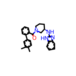 Cc1ccc(-c2ccccc2C(=O)N2CCC[C@@H](Nc3nc4ccccc4[nH]3)C2)cc1C